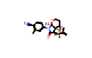 C=C1C[C@@]23CCO[C@H]4[C@@H]2[C@H](C(=O)N4c2ccc(C#N)c(C)c2)[C@]1(C)O3